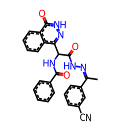 CC(=NNC(=O)C(NC(=O)c1ccccc1)c1n[nH]c(=O)c2ccccc12)c1cccc(C#N)c1